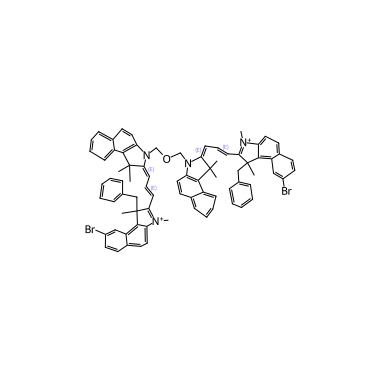 C[N+]1=C(/C=C/C=C2/N(COCN3/C(=C/C=C/C4=[N+](C)c5ccc6ccc(Br)cc6c5C4(C)Cc4ccccc4)C(C)(C)c4c3ccc3ccccc43)c3ccc4ccccc4c3C2(C)C)C(C)(Cc2ccccc2)c2c1ccc1ccc(Br)cc21